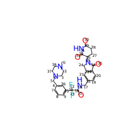 CN1CCN(Cc2cccc(C(F)(F)C(=O)NCc3ccc4c(c3)CN([C@@H]3CCC(=O)NC3=O)C4=O)c2)CC1